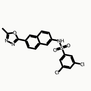 Cc1nnc(-c2ccc3cc(NS(=O)(=O)c4cc(Cl)cc(Cl)c4)ccc3c2)o1